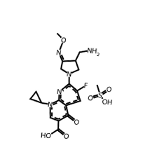 CON=C1CN(c2nc3c(cc2F)c(=O)c(C(=O)O)cn3C2CC2)CC1CN.CS(=O)(=O)O